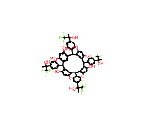 CC(O)(c1ccc(C2c3cc(c(O)cc3O)C(c3ccc(C(C)(O)C(F)(F)F)cc3)c3cc(c(O)cc3O)C(c3ccc(C(C)(O)C(F)(F)F)cc3)c3cc(c(O)cc3O)C(c3ccc(C(C)(O)C(F)(F)F)cc3)c3cc2c(O)cc3O)cc1)C(F)(F)F